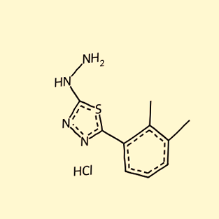 Cc1cccc(-c2nnc(NN)s2)c1C.Cl